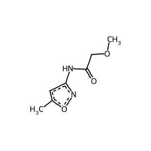 COCC(=O)Nc1cc(C)on1